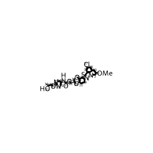 COc1cnc2c(-c3nc4ccc5c(c4s3)OC[C@H](COC(=O)Nc3cnc(OC[C@H](C)O)nc3)O5)cc(Cl)cc2c1